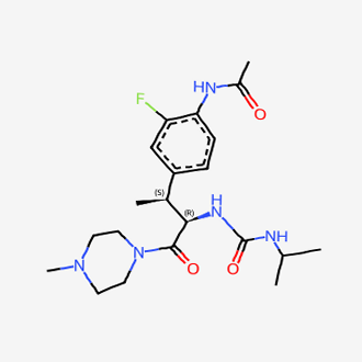 CC(=O)Nc1ccc([C@H](C)[C@@H](NC(=O)NC(C)C)C(=O)N2CCN(C)CC2)cc1F